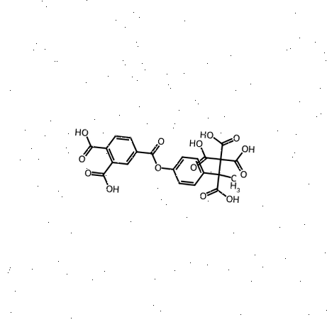 CC(C(=O)O)(c1ccc(OC(=O)c2ccc(C(=O)O)c(C(=O)O)c2)cc1)C(C(=O)O)(C(=O)O)C(=O)O